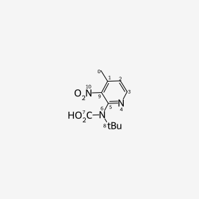 Cc1ccnc(N(C(=O)O)C(C)(C)C)c1[N+](=O)[O-]